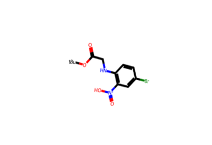 CC(C)(C)OC(=O)CNc1ccc(Br)cc1[N+](=O)O